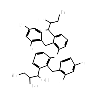 CCCCC(CC(C)C)C(O)c1cccc(Oc2cccc(C(O)C(CCCC)CC(C)C)c2Cc2ccc(Br)cc2Br)c1Cc1ccc(Br)cc1Br